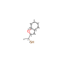 CC(S)c1cc2ccccc2o1